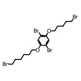 BrCCCCCCOc1cc(Br)c(OCCCCCBr)cc1Br